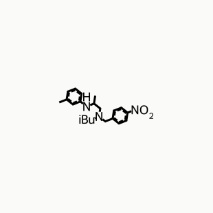 CCC(C)N(Cc1ccc([N+](=O)[O-])cc1)CC(C)Nc1cccc(C)c1